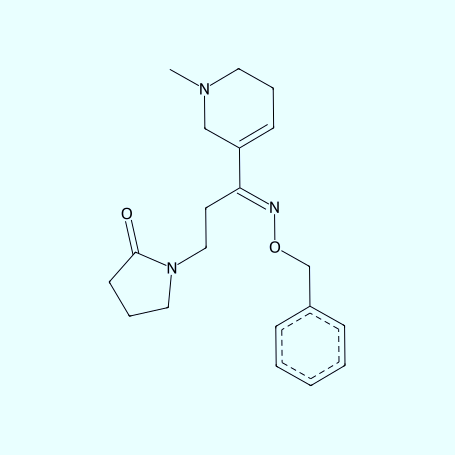 CN1CCC=C(C(CCN2CCCC2=O)=NOCc2ccccc2)C1